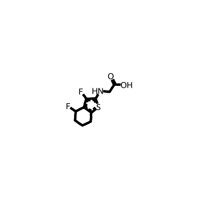 O=C(O)CNc1sc2c(c1F)C(F)CCC2